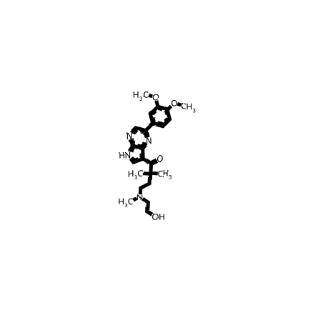 COc1ccc(-c2cnc3[nH]cc(C(=O)C(C)(C)CCN(C)CCO)c3n2)cc1OC